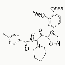 COc1ccc(N2C=NOC2C(=O)C(NC(=O)c2ccc(C)cc2)N2CCCCC2)cc1OC